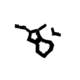 CNC.COc1cc2ccccc2n1C